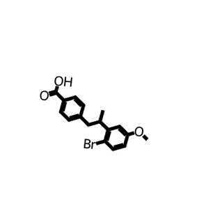 COc1ccc(Br)c(C(C)Cc2ccc(C(=O)O)cc2)c1